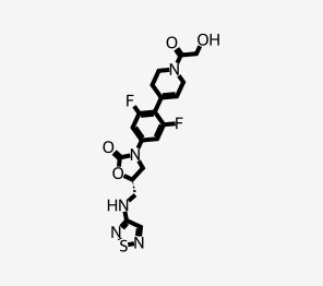 O=C(CO)N1CC=C(c2c(F)cc(N3C[C@H](CNc4cnsn4)OC3=O)cc2F)CC1